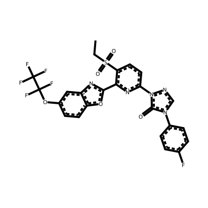 CCS(=O)(=O)c1ccc(-n2ncn(-c3ccc(F)cc3)c2=O)nc1-c1nc2cc(OC(F)(F)C(F)(F)F)ccc2o1